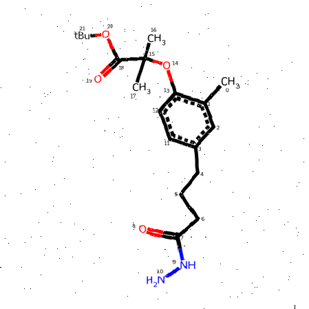 Cc1cc(CCCC(=O)NN)ccc1OC(C)(C)C(=O)OC(C)(C)C